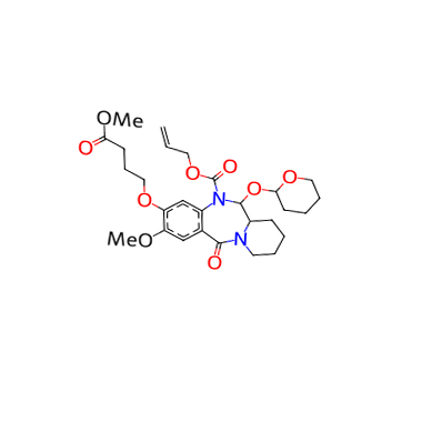 C=CCOC(=O)N1c2cc(OCCCC(=O)OC)c(OC)cc2C(=O)N2CCCCC2C1OC1CCCCO1